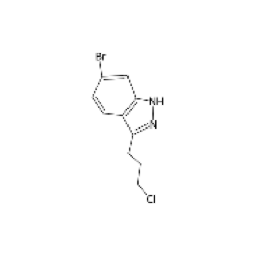 ClCCCc1n[nH]c2cc(Br)ccc12